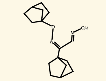 ON=CC(=NOC12CCC(CC1)C2)C12CCC(CC1)C2